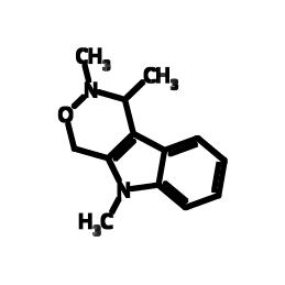 CC1c2c(n(C)c3ccccc23)CON1C